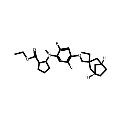 CCOC(=O)C1CCCC1N(C)c1cc(Cl)c(OCC2(CC)C[C@@H]3CC[C@@H](C3)C2)cc1F